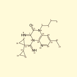 CCCCn1c(=O)c(=N)n(C(=N)C2(C3CC3)CC2)c2ncc(CC)cc21